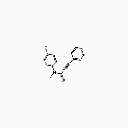 CN(C(=O)C#Cc1ccccc1)c1ccc(Cl)cc1